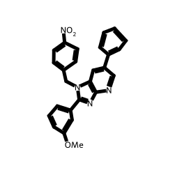 COc1cccc(-c2nc3ncc(-c4ccccc4)cc3n2Cc2ccc([N+](=O)[O-])cc2)c1